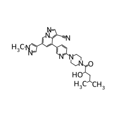 CC(C)CC(O)C(=O)N1CCN(c2ccc(-c3cc(-c4cnn(C)c4)cn4ncc(C#N)c34)cn2)CC1